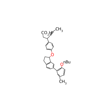 CC#CC(CC(=O)O)c1ccc(OC2CCc3ccc(-c4cc(C)ccc4OCCCC)cc32)cc1